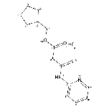 Cl.O=C(CC(=S)Nc1ccccn1)OCC1CCCC1